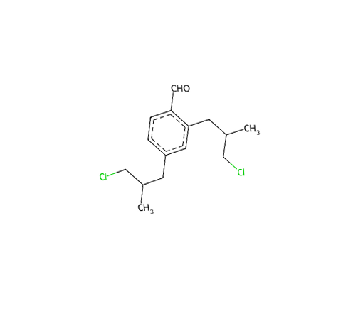 CC(CCl)Cc1ccc(C=O)c(CC(C)CCl)c1